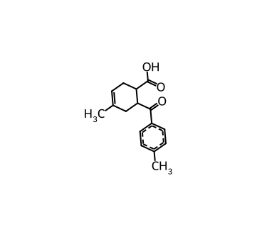 CC1=CCC(C(=O)O)C(C(=O)c2ccc(C)cc2)C1